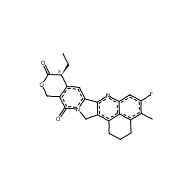 CC[C@@H]1C(=O)OCc2c1cc1n(c2=O)Cc2c-1nc1cc(F)c(C)c3c1c2CCC3